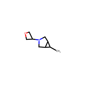 CC1C2CN(C3COC3)CC12